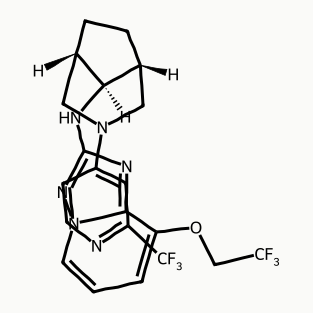 FC(F)(F)COc1cccn2nc(N[C@@H]3[C@@H]4CC[C@H]3CN(c3ccnc(C(F)(F)F)c3)C4)nc12